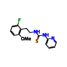 COc1cccc(F)c1CCNC(=S)Nc1ccccn1